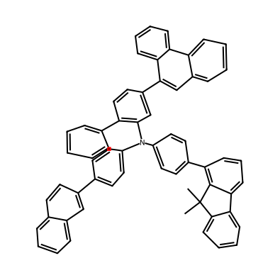 CC1(C)c2ccccc2-c2cccc(-c3ccc(N(c4ccc(-c5ccc6ccccc6c5)cc4)c4cc(-c5cc6ccccc6c6ccccc56)ccc4-c4ccccc4)cc3)c21